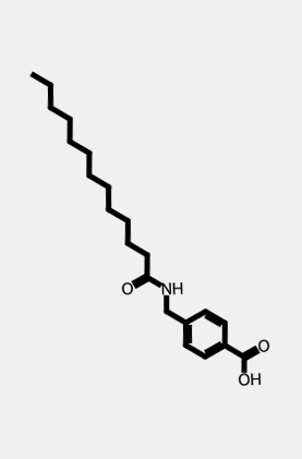 CCCCCCCCCCCCC(=O)NCc1ccc(C(=O)O)cc1